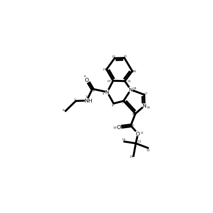 CCNC(=O)N1Cc2c(C(=O)OC(C)(C)C)ncn2-c2ccccc21